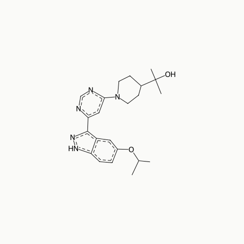 CC(C)Oc1ccc2[nH]nc(-c3cc(N4CCC(C(C)(C)O)CC4)ncn3)c2c1